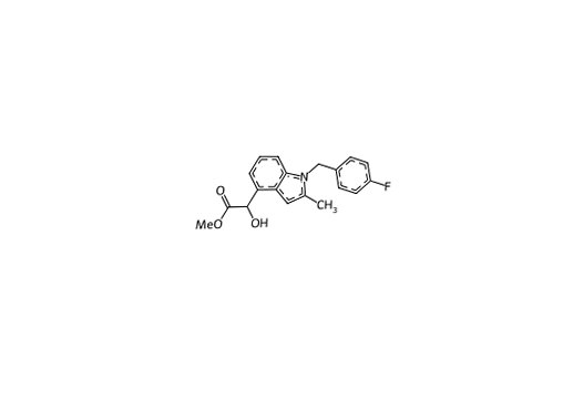 COC(=O)C(O)c1cccc2c1cc(C)n2Cc1ccc(F)cc1